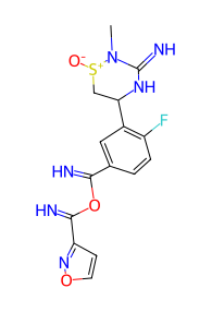 CN1C(=N)NC(c2cc(C(=N)OC(=N)c3ccon3)ccc2F)C[S+]1[O-]